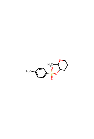 Cc1ccc(S(=O)(=O)OC2CCCOC2C)cc1